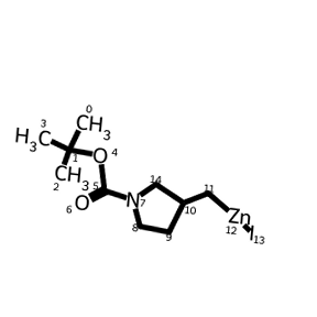 CC(C)(C)OC(=O)N1CCC([CH2][Zn][I])C1